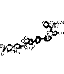 COC(=O)N[C@H](C(=O)N1C[C@@H](C)C[C@H]1C1=C=CCC(c2ccc(-c3cc(Cl)c(C(=O)Nc4ccc(N5CCN(C(=O)C(C)(C)C)C[C@H]5C)nc4)cc3OC(F)(F)F)cc2)=CN1)C1CCOCC1